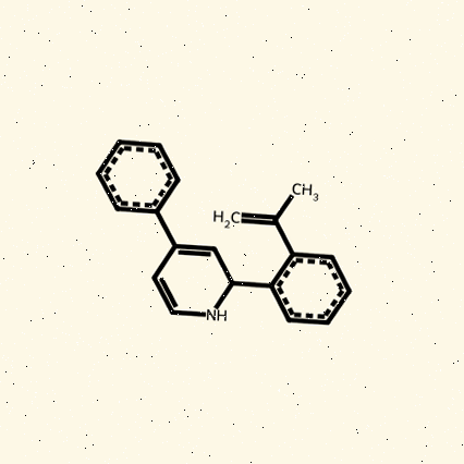 C=C(C)c1ccccc1C1C=C(c2ccccc2)C=CN1